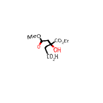 CCOC(=O)C(O)(CC(=O)O)CC(=O)OC